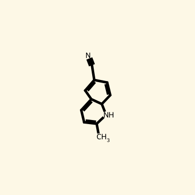 CC1=CC=C2C=C(C#N)C=CC2N1